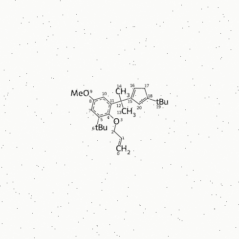 C=CCOc1c(C(C)(C)C)cc(OC)cc1C(C)(C)C1=CCC(C(C)(C)C)=C1